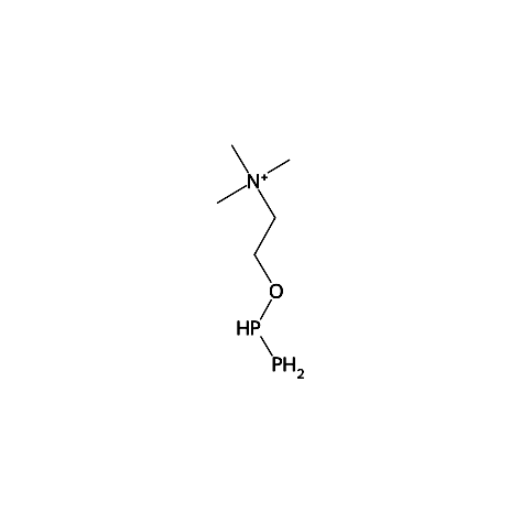 C[N+](C)(C)CCOPP